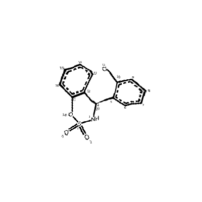 O=S1(=O)N[C@H](c2ccccc2Cl)c2ccccc2O1